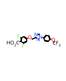 O=C(O)c1c(F)cc(OCc2ncn(-c3ccc(OC(F)(F)F)cc3)n2)cc1F